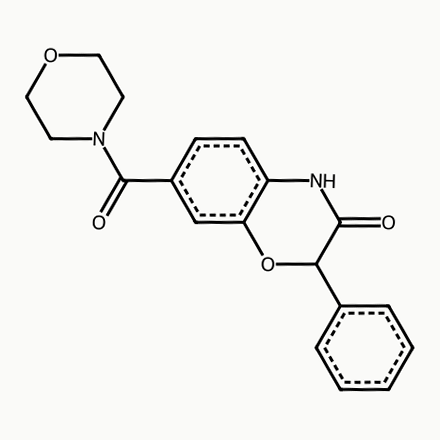 O=C1Nc2ccc(C(=O)N3CCOCC3)cc2OC1c1ccccc1